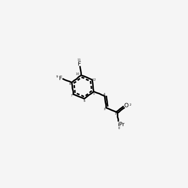 CC(C)C(=O)/C=C/c1ccc(F)c(F)c1